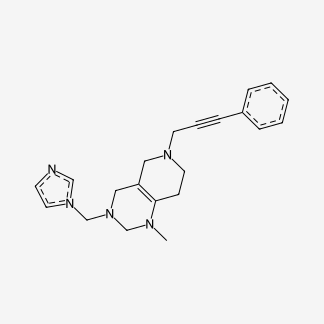 CN1CN(Cn2ccnc2)CC2=C1CCN(CC#Cc1ccccc1)C2